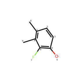 Cc1ccc([O])c(F)c1C